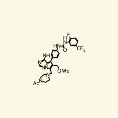 COCc1c(-c2ccc(NC(=O)Nc3cc(C(F)(F)F)ccc3F)cc2)c2c(N)ncnn2c1CN1CCN(C(C)=O)CC1